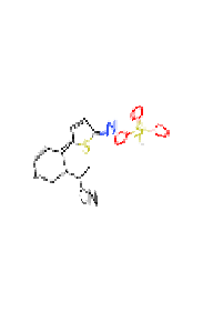 CC(C#N)C1C=CC=CC1=C1C=CC(=NOS(C)(=O)=O)S1